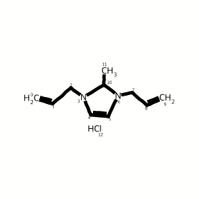 C=CCN1C=CN(CC=C)C1C.Cl